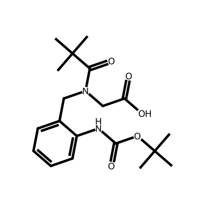 CC(C)(C)OC(=O)Nc1ccccc1CN(CC(=O)O)C(=O)C(C)(C)C